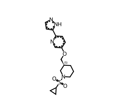 O=S(=O)(C1CC1)N1CCC[C@H](COc2ccc(-c3ccn[nH]3)nc2)C1